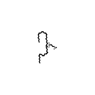 CCCCC/C=C\C/C=C\C/C=C\CCCCCC(CCCCC/C=C\C/C=C\C/C=C\CCCCC)OC(O)CCCN(C)C